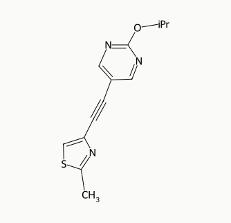 Cc1nc(C#Cc2cnc(OC(C)C)nc2)cs1